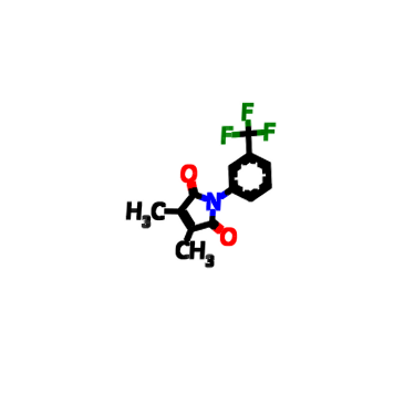 CC1=C(C)C(=O)N(c2cccc(C(F)(F)F)c2)C1=O